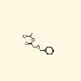 CC(Cl)OC(=O)COCc1ccccc1